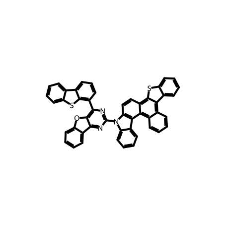 c1ccc2c(c1)oc1c(-c3cccc4c3sc3ccccc34)nc(-n3c4ccccc4c4c5c6ccccc6c6c7ccccc7sc6c5ccc43)nc12